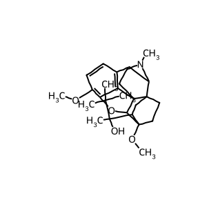 COc1ccc2c3c1OC1C4(OC)CCC5(CC4C(C)(O)C(C)(C)C)C(C2)N(C)CCC315